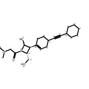 CN(C)CC(=O)N1C(C#N)[C@@H](C2=CCC(C#CC3CCCCC3)CC2)[C@@H]1CO